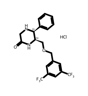 Cl.O=C1CN[C@@H](c2ccccc2)[C@@H](COCc2cc(C(F)(F)F)cc(C(F)(F)F)c2)N1